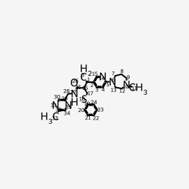 C=C(c1ccc(N2CCCN(C)CC2)nc1)C(CSc1ccccc1)C(=O)NCc1cnc(C)cn1